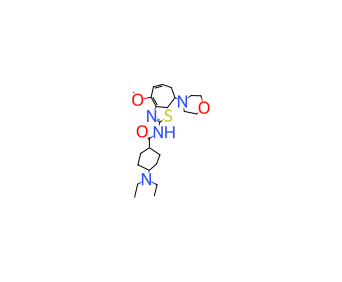 CCN(CC)C1CCC(C(=O)NC2=NC3=C(OC)C=CCC(N4CCOCC4)C3S2)CC1